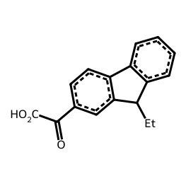 CCC1c2ccccc2-c2ccc(C(=O)C(=O)O)cc21